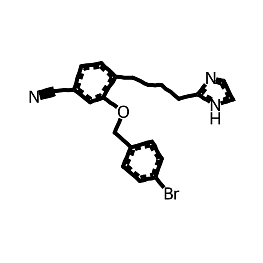 N#Cc1ccc(CCCCc2ncc[nH]2)c(OCc2ccc(Br)cc2)c1